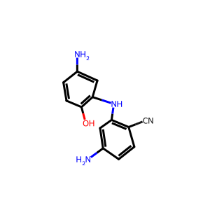 N#Cc1ccc(N)cc1Nc1cc(N)ccc1O